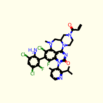 C=CC(=O)N1CCN2c3nc(=O)n(-c4c(C)ccnc4C(C)C)c4c(F)c(-c5c(N)c(Cl)cc(Cl)c5F)c(Cl)c(c34)N(C)CC2C1